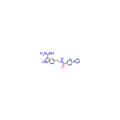 N=C(N)c1c[nH]c2ccc(CCNC(=O)c3ccc(-n4cccc4)nc3)cc12